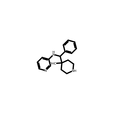 O=CC1(C(Nc2cccnc2)c2ccccc2)CCNCC1